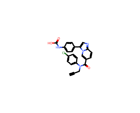 C#CCN(C(=O)c1ccc2ncc(-c3ccc(NC(=O)O)cc3)n2c1)c1ccc(Cl)cc1